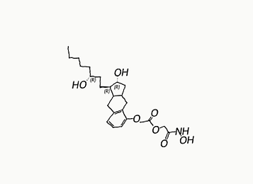 CCCCC[C@@H](O)CC[C@@H]1C2Cc3cccc(OCC(=O)OCC(=O)NO)c3CC2C[C@H]1O